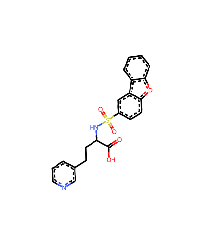 O=C(O)C(CCc1cccnc1)NS(=O)(=O)c1ccc2oc3ccccc3c2c1